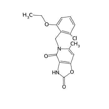 CCOc1cccc(Cl)c1Cn1c(C)cc2oc(=O)[nH]c2c1=O